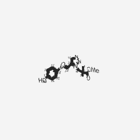 COC(=O)C(C)(C)Cn1nncc1COc1ccc(O)cc1